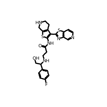 O=C(CCNC(CO)c1ccc(F)cc1)Nc1sc2c(c1-c1nc3cnccc3s1)CCNC2